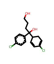 OCCCC(O)(c1ccc(Cl)cc1)C1C=CC(Cl)=CC1